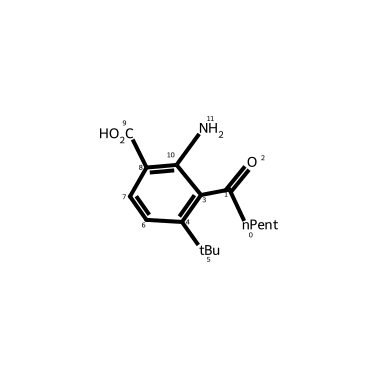 CCCCCC(=O)c1c(C(C)(C)C)ccc(C(=O)O)c1N